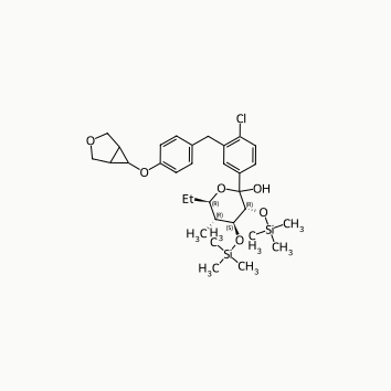 CC[C@H]1OC(O)(c2ccc(Cl)c(Cc3ccc(OC4C5COCC54)cc3)c2)[C@H](O[Si](C)(C)C)[C@@H](O[Si](C)(C)C)[C@@H]1C